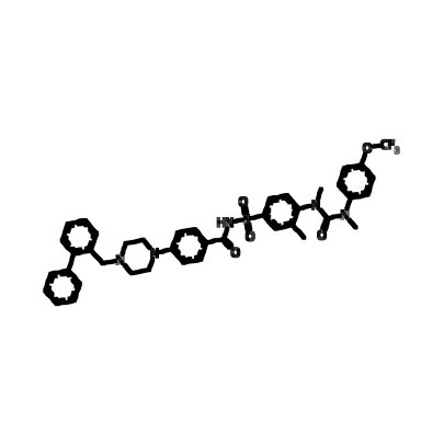 Cc1cc(S(=O)(=O)NC(=O)c2ccc(N3CCN(Cc4ccccc4-c4ccccc4)CC3)cc2)ccc1N(C)C(=O)N(C)c1ccc(OC(F)(F)F)cc1